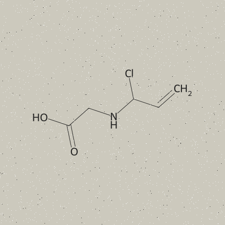 C=CC(Cl)NCC(=O)O